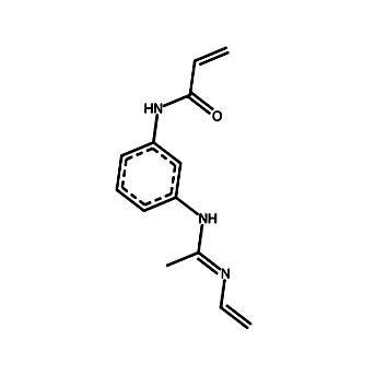 C=C/N=C(\C)Nc1cccc(NC(=O)C=C)c1